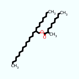 CCCCCCCCCCCCCCC(CCCCCCCC)COC(=O)C(C)CCCCCCCC